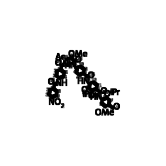 COC(=O)c1ccc(NC(=O)c2ccc(NC(=O)c3ccc(NC(=O)[C@@H](OC)[C@H](NC(=O)c4ccc(NC(=O)c5ccc([N+](=O)[O-])cc5)cc4)C(C)=O)cc3)c(OC(C)C)c2O)c(OC(C)C)c1